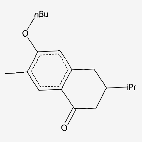 CCCCOc1cc2c(cc1C)C(=O)CC(C(C)C)C2